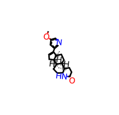 COc1cncc(C2=CC[C@H]3[C@@H]4CCC5NC(=O)CC[C@]5(C)[C@H]4CC[C@]23C)c1